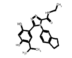 CCNC(=O)c1nnc(-c2cc(C(C)C)c(O)cc2O)n1-c1ccc2c(c1)CCC2